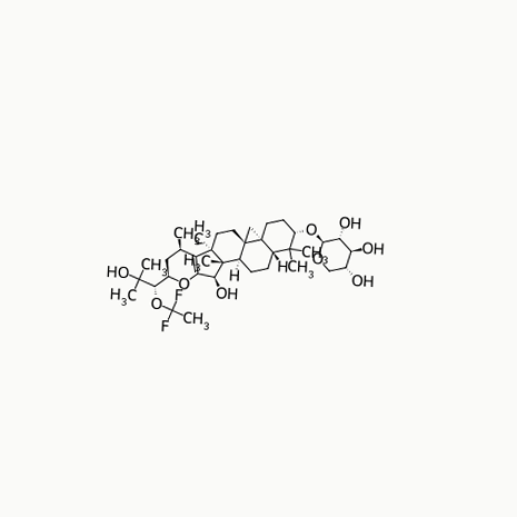 C[C@@H]1C[C@H]([C@H](OC(C)(F)F)C(C)(C)O)OC2=C1[C@@]1(C)CC[C@@]34C[C@@]35CC[C@H](O[C@@H]3OC[C@@H](O)[C@H](O)[C@H]3O)C(C)(C)[C@@H]5CC[C@H]4[C@]1(C)[C@H]2O